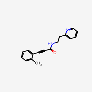 Cc1ccccc1C#CC(=O)NCCc1ccccn1